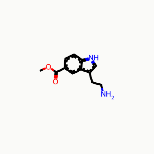 COC(=O)c1ccc2[nH]cc(CCN)c2c1